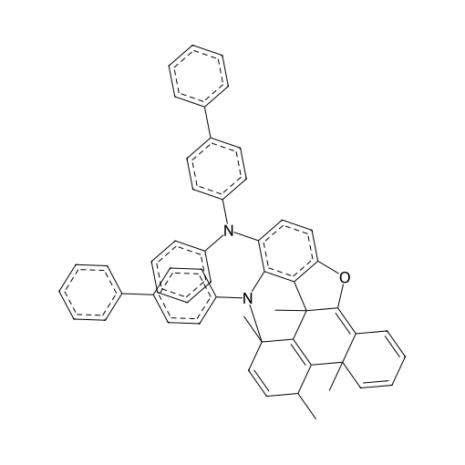 CC1C=CC2(C)C3=C1C1(C)C=CC=CC1=C1Oc4ccc(N(c5ccccc5)c5ccc(-c6ccccc6)cc5)c(c4C13C)N2c1ccc(-c2ccccc2)cc1